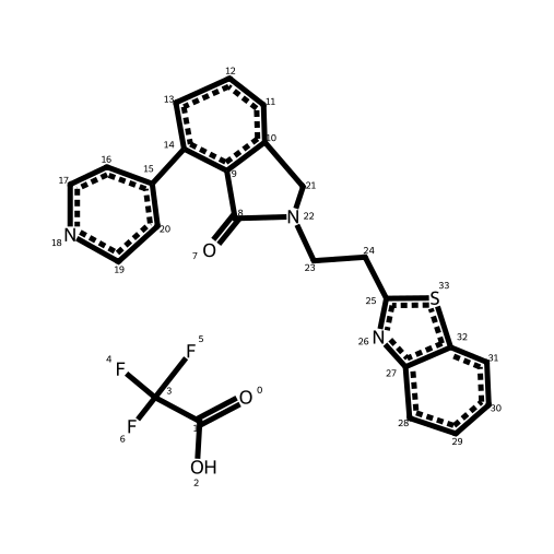 O=C(O)C(F)(F)F.O=C1c2c(cccc2-c2ccncc2)CN1CCc1nc2ccccc2s1